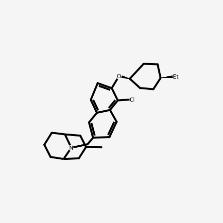 CC[C@H]1CC[C@@H](Oc2ccc3cc(CN4C5CCCC4CC(C)C5)ccc3c2Cl)CC1